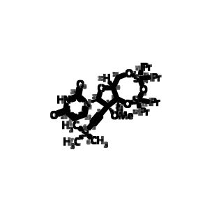 CO[C@@]1(C#C[Si](C)(C)C)[C@@H]2O[Si](C(C)C)(C(C)C)O[Si](C(C)C)(C(C)C)OC[C@H]2O[C@H]1n1ccc(=O)[nH]c1=O